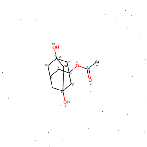 CC(=O)C(=O)OC12CC3CC(O)(CC(O)(C3)C1)C2